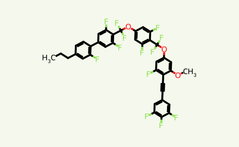 CCCc1ccc(-c2cc(F)c(C(F)(F)Oc3cc(F)c(C(F)(F)Oc4cc(F)c(C#Cc5cc(F)c(F)c(F)c5)c(OC)c4)c(F)c3)c(F)c2)c(F)c1